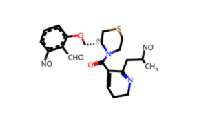 CC(CC1=NCCC=C1C(=O)N1CCSC[C@H]1COc1cccc(N=O)c1C=O)N=O